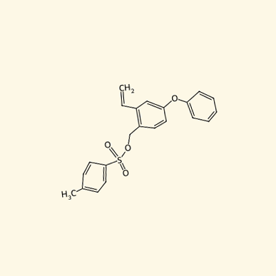 C=Cc1cc(Oc2ccccc2)ccc1COS(=O)(=O)c1ccc(C)cc1